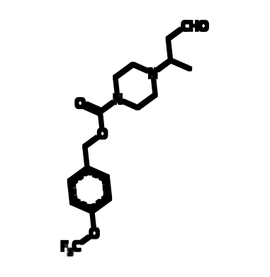 CC(CC=O)N1CCN(C(=O)OCc2ccc(OC(F)(F)F)cc2)CC1